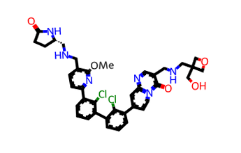 COc1nc(-c2cccc(-c3cccc(-c4ccn5c(=O)c(CNCC6(CO)COC6)cnc5c4)c3Cl)c2Cl)ccc1CNC[C@@H]1CCC(=O)N1